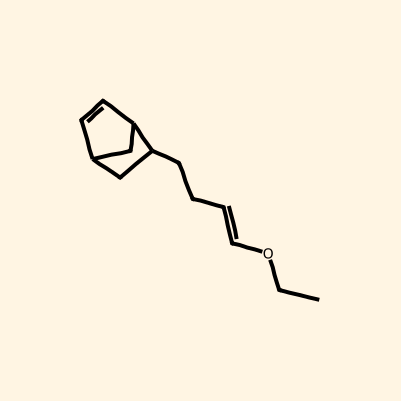 CCOC=CCCC1CC2C=CC1C2